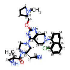 CN1CCC[C@H]1COc1nc2c(c(N3CCN(C(=O)[C@@]4(C)CN4)[C@@H](CC#N)C3)n1)CCN(c1cccc3cccc(Cl)c13)C2